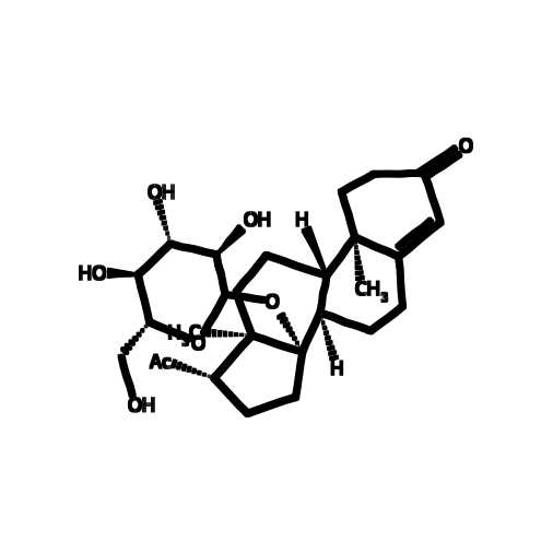 CC(=O)[C@H]1CC[C@]2(OC3O[C@H](CO)[C@@H](O)[C@H](O)[C@H]3O)[C@@H]3CCC4=CC(=O)CC[C@]4(C)[C@H]3CC[C@]12C